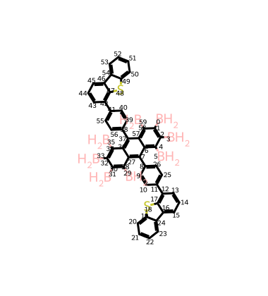 Bc1c(B)c(B)c2c(-c3ccc(-c4cccc5c4sc4ccccc45)cc3)c3c(B)c(B)c(B)c(B)c3c(-c3ccc(-c4cccc5c4sc4ccccc45)cc3)c2c1B